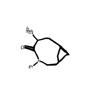 CNC1CC2CC2CN(C(C)C)C1=O